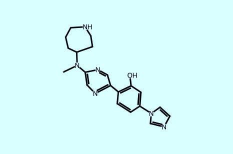 CN(c1cnc(-c2ccc(-n3ccnc3)cc2O)cn1)C1CCCNCC1